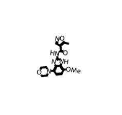 COc1ccc(N2CCOCC2)c2nc(NC(=O)c3cnoc3C)[nH]c12